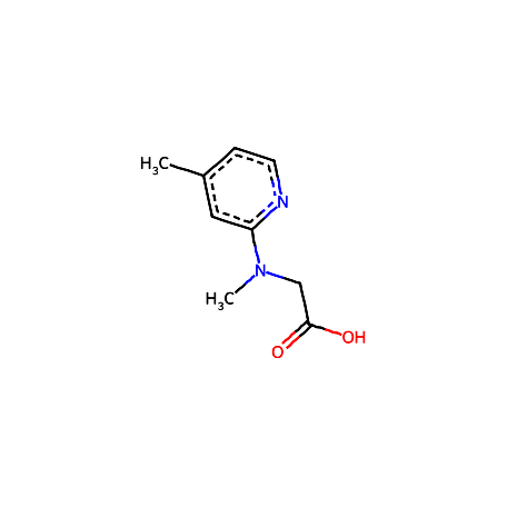 Cc1ccnc(N(C)CC(=O)O)c1